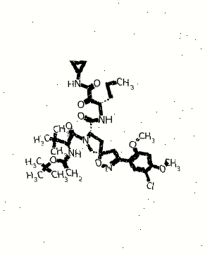 C=C(N[C@H](C(=O)N1C[C@@]2(CC(c3cc(Cl)c(OC)cc3OC)=NO2)C[C@H]1C(=O)N[C@@H](CCC)C(=O)C(=O)NC1CC1)C(C)(C)C)OC(C)(C)C